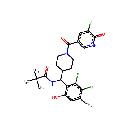 Cc1cc(O)c(C(NC(=O)C(C)(C)C)C2CCN(C(=O)c3c[nH]c(=O)c(Cl)c3)CC2)c(F)c1Cl